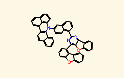 c1cc(-c2nc(-c3cccc4oc5ccccc5c34)c3oc4ccccc4c3n2)c2ccc(N3c4c(ccc5ccccc45)-c4cccc5cccc3c45)cc2c1